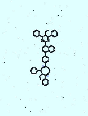 CCC1C(c2ccccc2)=NC(c2ccc(-c3ccc(/C4=C/C(c5ccccc5)C(CC)/C(c5ccccc5)=C\CC4)cc3)c3ccccc23)=NC1c1ccccc1